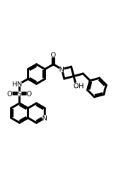 O=C(c1ccc(NS(=O)(=O)c2cccc3cnccc23)cc1)N1CC(O)(Cc2ccccc2)C1